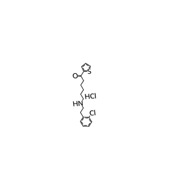 Cl.O=C(CCCCCNCCc1ccccc1Cl)c1cccs1